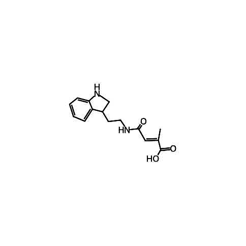 C/C(=C\C(=O)NCCC1CNc2ccccc21)C(=O)O